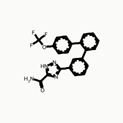 NC(=O)c1nc(-c2cccc(-c3ccccc3-c3ccc(OC(F)(F)F)cc3)c2)n[nH]1